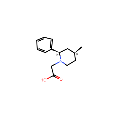 C[C@H]1CCN(CC(=O)O)[C@@H](c2ccccc2)C1